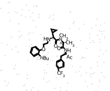 CCCCc1ccccc1OCCN[C@H](C(=O)N(C)[C@H](C)C(=O)N[C@H](Cc1ccc(C(F)(F)F)cc1)C(C)=O)C1CC1